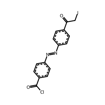 O=C(Cl)c1ccc(/N=N/c2ccc(C(=O)CI)cc2)cc1